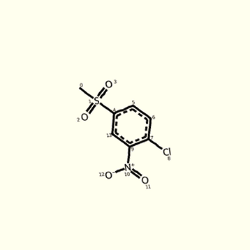 CS(=O)(=O)c1ccc(Cl)c([N+](=O)[O-])c1